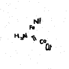 [AlH3].[Co].[Cu].[Fe].[Ni].[Ti]